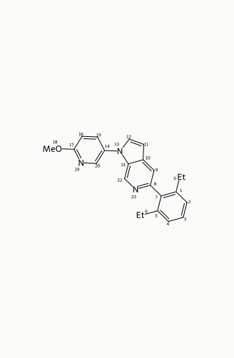 CCc1cccc(CC)c1-c1cc2ccn(-c3ccc(OC)nc3)c2cn1